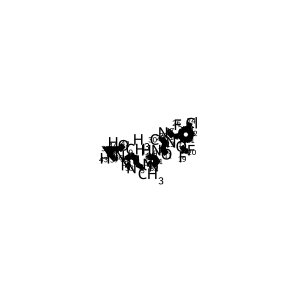 Cc1cc(C(C)n2cc(NC(=O)c3nc(-c4c(OC(F)F)ccc(Cl)c4F)cnc3C)cn2)nnc1N1C[C@H]2C[C@H]2C1=O